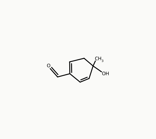 CC1(O)C=CC(C=O)=CC1